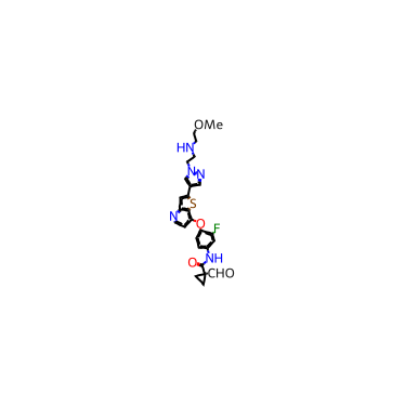 COCCNCCn1cc(-c2cc3nccc(Oc4ccc(NC(=O)C5(C=O)CC5)cc4F)c3s2)cn1